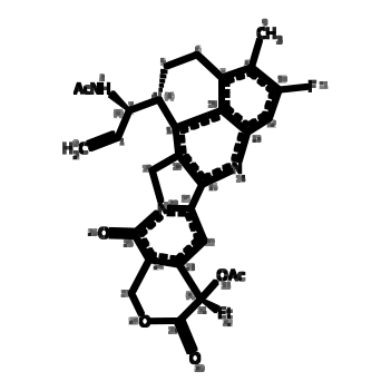 C=C[C@@H](NC(C)=O)[C@@H]1CCc2c(C)c(F)cc3nc4c(c1c23)Cn1c-4cc2c(c1=O)COC(=O)[C@@]2(CC)OC(C)=O